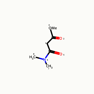 COC(=O)CC(=O)N(C)C